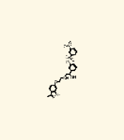 Cc1n[nH]c2cc(OCCNC[C@H](O)c3cccc(NS(=O)(=O)c4cccc([N+](=O)[O-])c4)c3)ccc12